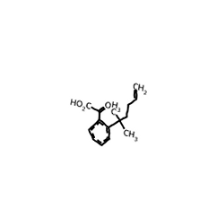 C=CCCC(C)(C)c1ccccc1C(=O)C(=O)O